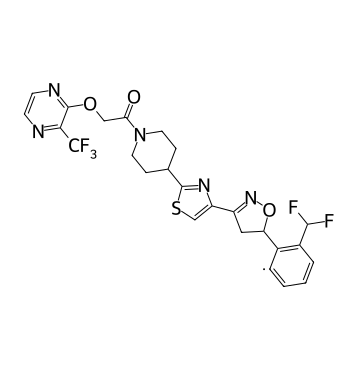 O=C(COc1nccnc1C(F)(F)F)N1CCC(c2nc(C3=NOC(c4[c]cccc4C(F)F)C3)cs2)CC1